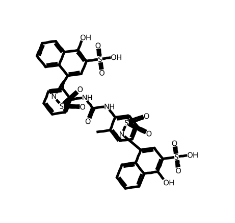 Cc1c2ccc(c1NC(=O)Nc1c3ccc(c1C)N(c1cc(S(=O)(=O)O)c(O)c4ccccc14)S3(=O)=O)S(=O)(=O)N2c1cc(S(=O)(=O)O)c(O)c2ccccc12